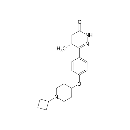 C[C@@H]1CC(=O)NN=C1c1ccc(OC2CCN(C3CCC3)CC2)cc1